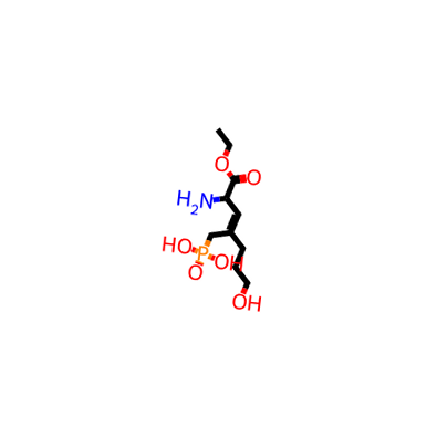 CCOC(=O)C(N)C=C(CCCO)CP(=O)(O)O